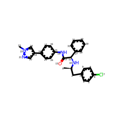 C[C@H](Cc1ccc(Cl)cc1)N[C@@H](C(=O)Nc1ccc(-c2cnn(C)c2)cc1)c1ccccc1